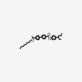 CCCCCCCCOC(C)c1ccc(-c2ccc(C(=O)Oc3ccc(C(CC)CCC)cc3)cc2)cc1